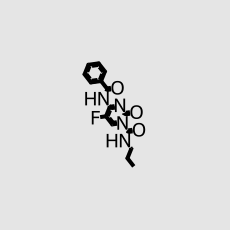 CCCNC(=O)n1cc(F)c(NC(=O)c2ccccc2)nc1=O